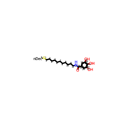 CCCCCCCCCCSCCCCCCCCCCCNC(=O)c1cc(O)c(O)c(O)c1